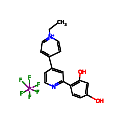 CC[n+]1ccc(-c2ccnc(-c3ccc(O)cc3O)c2)cc1.F[P-](F)(F)(F)(F)F